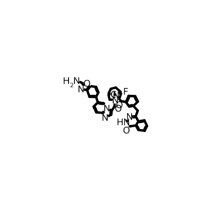 Nc1nc2cc(-c3ccc4ncc(C(=O)N5CC6CCC(C5)N(C(=O)c5cc(Cc7n[nH]c(=O)c8ccccc78)ccc5F)C6)n4c3)ccc2o1